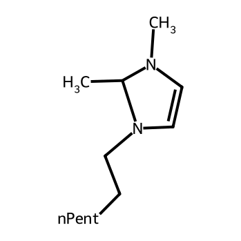 CCCCCCCN1C=CN(C)C1C